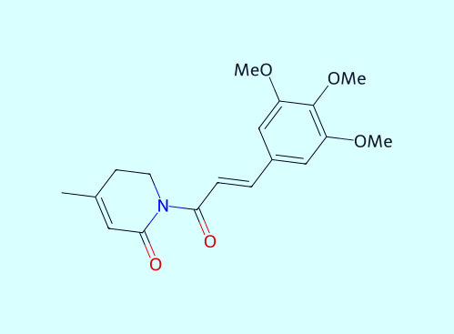 COc1cc(/C=C/C(=O)N2CCC(C)=CC2=O)cc(OC)c1OC